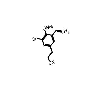 C=Cc1cc(CCC#N)cc(Br)c1OC